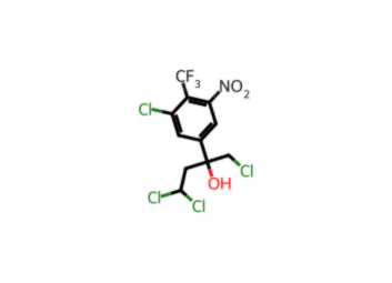 O=[N+]([O-])c1cc(C(O)(CCl)CC(Cl)Cl)cc(Cl)c1C(F)(F)F